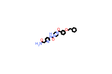 NC(=O)Cc1ccc(NC(=O)N2CCN(C(=O)c3cccc(OCCC4CCCCC4)c3)CC2)cn1